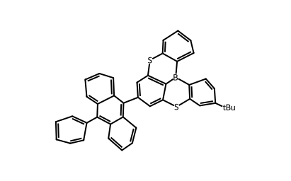 CC(C)(C)c1ccc2c(c1)Sc1cc(-c3c4ccccc4c(-c4ccccc4)c4ccccc34)cc3c1B2c1ccccc1S3